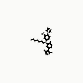 Cc1ccc(-c2c(C)noc2C)cc1N(CCCCCC=O)c1ccc(-n2ccnc2)c(Br)c1